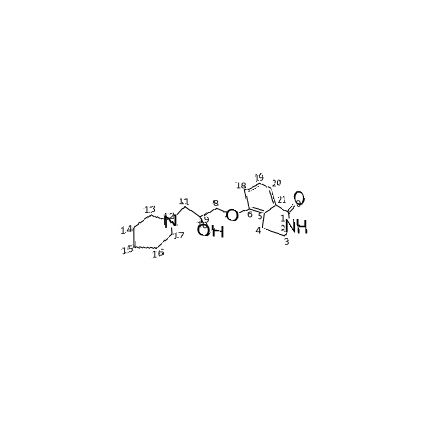 O=C1NCCc2c(OC[C@@H](O)CN3CCCCC3)cccc21